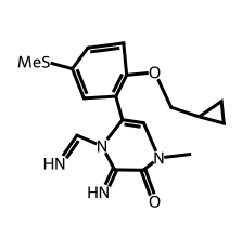 CSc1ccc(OCC2CC2)c(-c2cn(C)c(=O)c(=N)n2C=N)c1